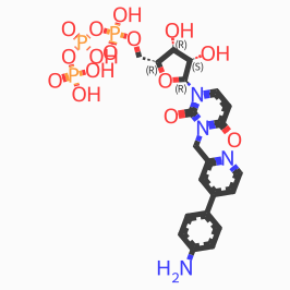 Nc1ccc(-c2ccnc(Cn3c(=O)ccn([C@@H]4O[C@H](COP(=O)(O)OP(=O)(O)OP(=O)(O)O)[C@H](O)[C@@H]4O)c3=O)c2)cc1